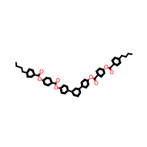 CCCCc1ccc(C(=O)Oc2ccc(C(=O)Oc3ccc(-c4cccc(-c5ccc(OC(=O)c6ccc(OC(=O)c7ccc(CCCC)cc7)cc6)cc5)c4)cc3)cc2)cc1